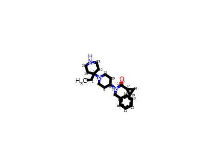 CCC1(N2CCC(N(Cc3ccccc3)C(=O)C3CC3)CC2)CCNCC1